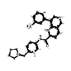 O=C(Nc1ccc(CN2CCCC2)nc1)c1ccc2cncc(-c3cccc(C(F)(F)F)c3)c2n1